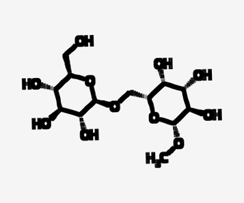 CO[C@@H]1O[C@H](CO[C@@H]2O[C@H](CO)[C@@H](O)[C@H](O)[C@H]2O)[C@H](O)[C@H](O)[C@H]1O